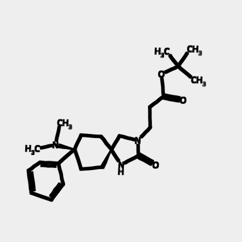 CN(C)[C@]1(c2ccccc2)CC[C@@]2(CC1)CN(CCC(=O)OC(C)(C)C)C(=O)N2